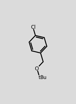 CC(C)(C)OCc1ccc(Cl)cc1